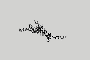 CCC(=O)C(CCC(=O)OC)NC(C)(CC)C(=O)C(N)CCC(=O)NCCN1C(=O)CC(SCCC(=O)O)C1=O